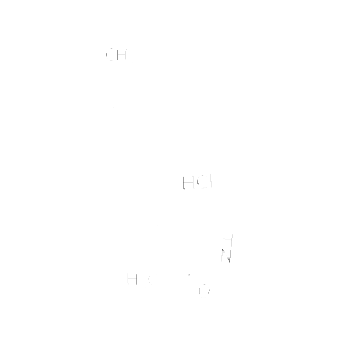 CCCCCCCCCCCCC1(CC)CNCCO1.Cl